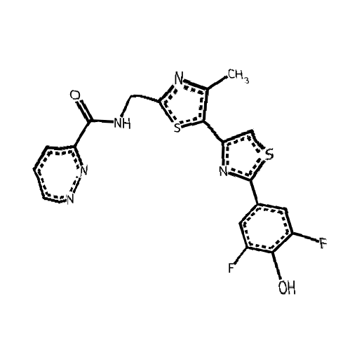 Cc1nc(CNC(=O)c2cccnn2)sc1-c1csc(-c2cc(F)c(O)c(F)c2)n1